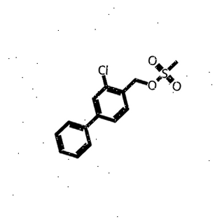 CS(=O)(=O)OCc1ccc(-c2ccccc2)cc1Cl